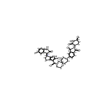 Cc1[nH]c2c(c1C(=O)N1CCOC3(CCN(c4ccc5c(c4)C(=O)N(C4CCC(=O)NC4=O)C5=O)CC3)C1)CC/C2=C1/C(=O)Nc2ccc(F)cc21